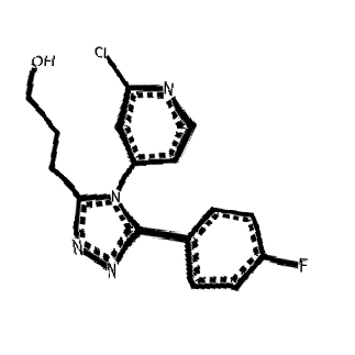 OCCCc1nnc(-c2ccc(F)cc2)n1-c1ccnc(Cl)c1